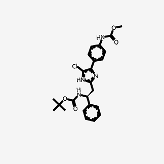 COC(=O)Nc1ccc(-c2nc(C[C@H](NC(=O)OC(C)(C)C)c3ccccc3)[nH]c2Cl)cc1